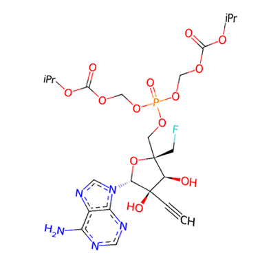 C#C[C@@]1(O)[C@H](O)[C@@](CF)(COP(=O)(OCOC(=O)OC(C)C)OCOC(=O)OC(C)C)O[C@H]1n1cnc2c(N)ncnc21